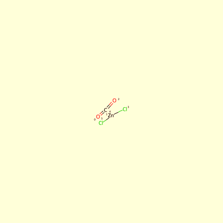 O=C=O.[Cl][Zn][Cl]